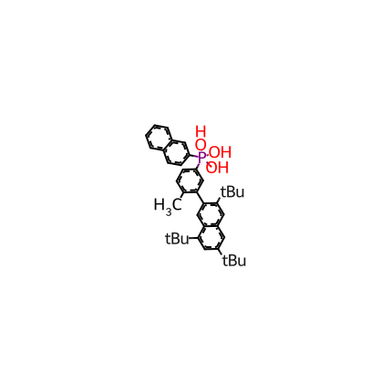 Cc1ccc(P(O)(O)(O)c2ccc3ccccc3c2)cc1-c1cc2c(C(C)(C)C)cc(C(C)(C)C)cc2cc1C(C)(C)C